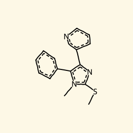 CSc1nc(-c2cccnc2)c(-c2ccccc2)n1C